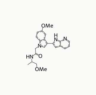 COCC(C)NC(=O)Cn1cc(-c2cc3cccnc3[nH]2)c2cc(OC)ccc21